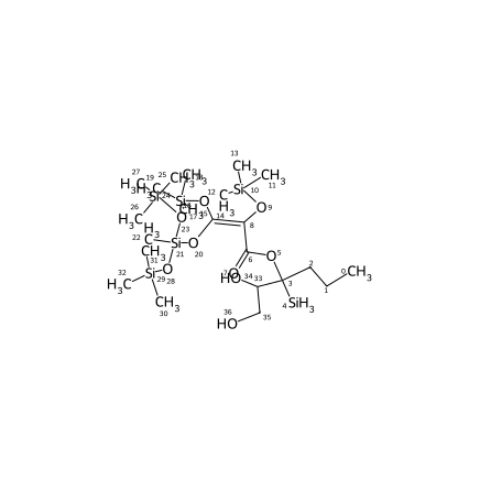 CCCC([SiH3])(OC(=O)C(O[Si](C)(C)C)=C(O[Si](C)(C)C)O[Si](C)(O[Si](C)(C)C)O[Si](C)(C)C)C(O)CO